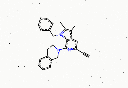 C#Cc1cc2c(C)c(C)n(Cc3ccccc3)c2c(N2CCc3ccccc3C2)n1